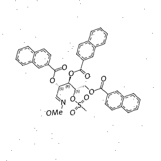 CON=C[C@H](OC(=O)c1ccc2ccccc2c1)[C@@H](OC(=O)c1ccc2ccccc2c1)[C@H](COC(=O)c1ccc2ccccc2c1)OS(C)(=O)=O